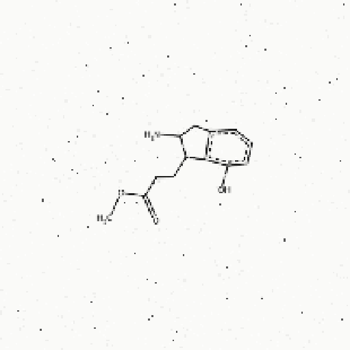 COC(=O)CCC1c2c(O)cccc2CC1N